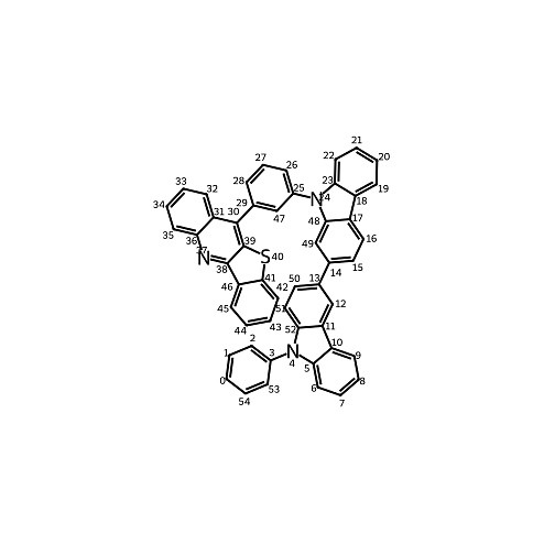 c1ccc(-n2c3ccccc3c3cc(-c4ccc5c6ccccc6n(-c6cccc(-c7c8ccccc8nc8c7sc7ccccc78)c6)c5c4)ccc32)cc1